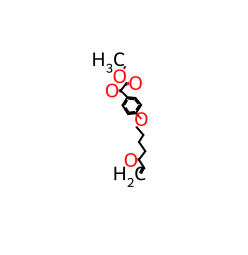 C=CC(=O)CCCCOc1ccc(C(=O)C(=O)OCC)cc1